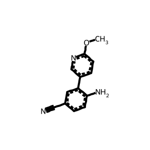 COc1ccc(-c2cc(C#N)ccc2N)cn1